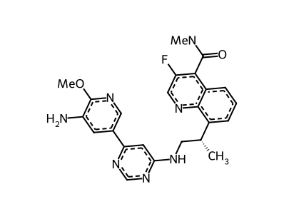 CNC(=O)c1c(F)cnc2c([C@H](C)CNc3cc(-c4cnc(OC)c(N)c4)ncn3)cccc12